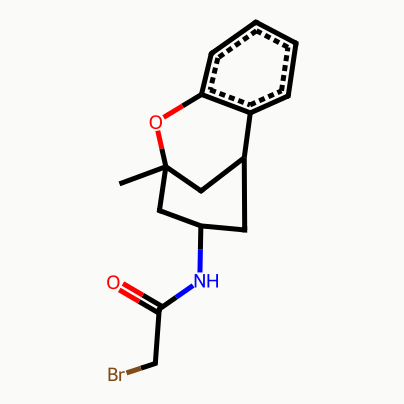 CC12CC(NC(=O)CBr)CC(C1)c1ccccc1O2